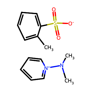 CN(C)[n+]1ccccc1.Cc1ccccc1S(=O)(=O)[O-]